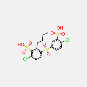 CCCCc1c(S(=O)(=O)c2ccc(Cl)c(S(=O)(=O)O)c2)ccc(Cl)c1S(=O)(=O)O